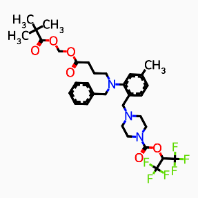 Cc1ccc(CN2CCN(C(=O)OC(C(F)(F)F)C(F)(F)F)CC2)c(N(CCCC(=O)OCOC(=O)C(C)(C)C)Cc2ccccc2)c1